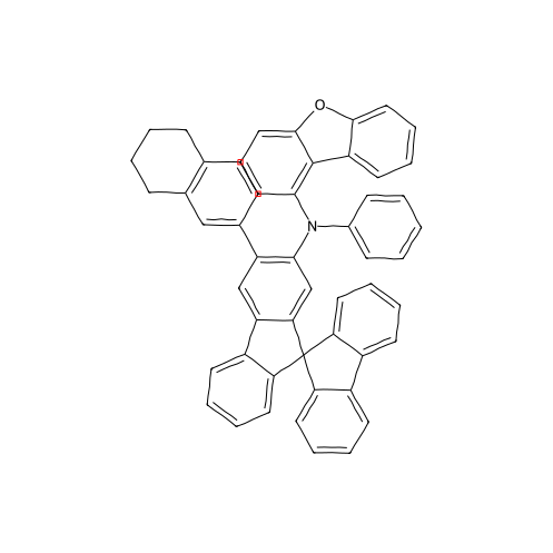 c1ccc(N(c2cc3c(cc2-c2ccc4c(c2)CCCC4)-c2ccccc2C32c3ccccc3-c3ccccc32)c2cccc3oc4ccccc4c23)cc1